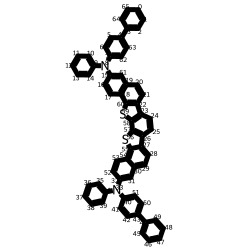 c1ccc(-c2ccc(N(c3ccccc3)c3ccc4c(ccc5c6ccc7c8ccc9cc(N(c%10ccccc%10)c%10ccc(-c%11ccccc%11)cc%10)ccc9c8sc7c6sc45)c3)cc2)cc1